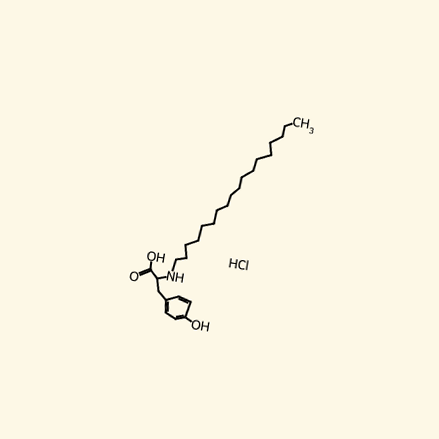 CCCCCCCCCCCCCCCCCCNC(Cc1ccc(O)cc1)C(=O)O.Cl